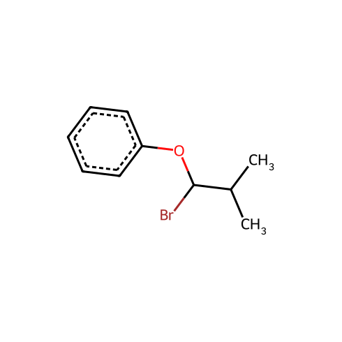 CC(C)C(Br)Oc1ccccc1